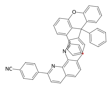 N#Cc1ccc(-c2ccc3ccc4ccc(-c5cccc6c5C(c5ccccc5)(c5ccccc5)c5ccccc5O6)nc4c3n2)cc1